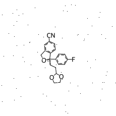 N#Cc1ccc2c(c1)CO[C@@]2(CCC1OCCO1)c1ccc(F)cc1